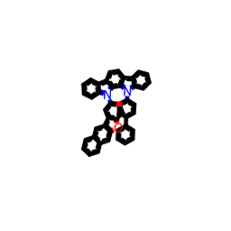 c1ccc(-c2ccc(-n3c4ccccc4c4ccc5c6ccccc6n(-c6ccc7oc8cc9ccccc9cc8c7c6)c5c43)cc2)cc1